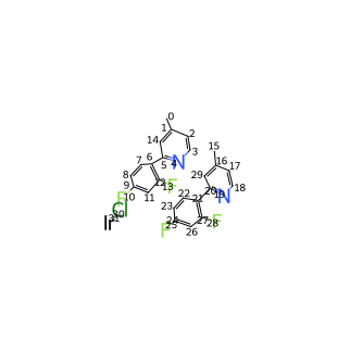 Cc1ccnc(-c2ccc(F)cc2F)c1.Cc1ccnc(-c2ccc(F)cc2F)c1.[Cl][Ir]